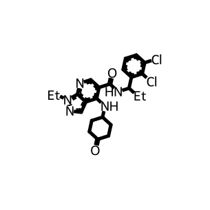 CCC(NC(=O)c1cnc2c(cnn2CC)c1NC1CCC(=O)CC1)c1cccc(Cl)c1Cl